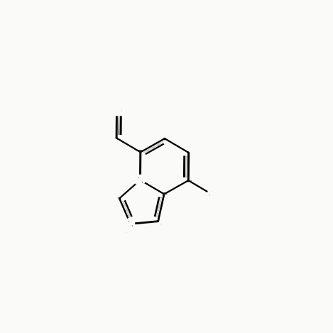 O=Cc1ccc(Cl)c2cncn12